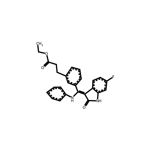 CCOC(=O)CCc1cccc(/C(Nc2ccccc2)=C2/C(=O)Nc3cc(F)ccc32)c1